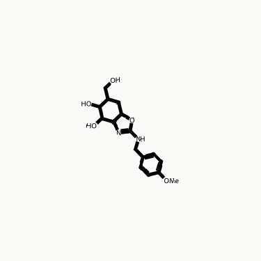 COc1ccc(CNC2=NC3C(CC(CO)C(O)C3O)O2)cc1